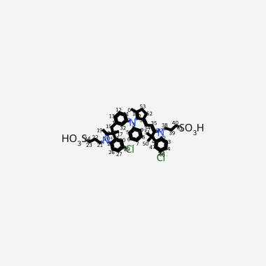 CC1=C(N(c2ccccc2)c2cccc(CC3(C)C(C)=[N+](CCCS(=O)(=O)O)c4ccc(Cl)cc43)c2)/C(=C/C=C2/N(CCCS(=O)(=O)O)c3ccc(Cl)cc3C2(C)C)CC1